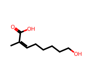 CC(=CCCCCCO)C(=O)O